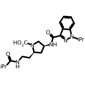 CC(C)C(=O)NCC[C@@H]1C[C@H](NC(=O)c2nn(C(C)C)c3ccccc23)CN1C(=O)O